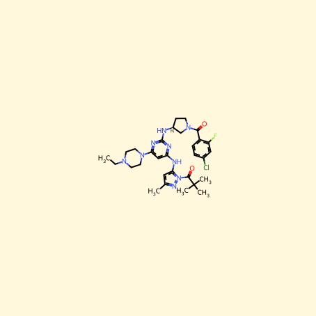 CCN1CCN(c2cc(Nc3cc(C)nn3C(=O)C(C)(C)C)nc(N[C@H]3CCN(C(=O)c4ccc(Cl)cc4F)C3)n2)CC1